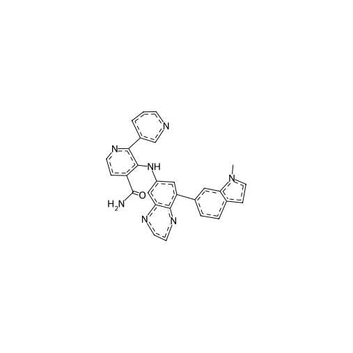 Cn1ccc2ccc(-c3cc(Nc4c(C(N)=O)ccnc4-c4cccnc4)cc4nccnc34)cc21